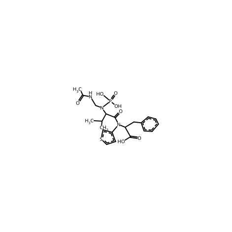 CC(=O)NCN(C(C(=O)N(c1ccsc1)C(Cc1ccccc1)C(=O)O)C(C)C)P(=O)(O)O